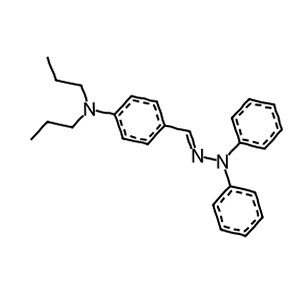 CCCN(CCC)c1ccc(/C=N/N(c2ccccc2)c2ccccc2)cc1